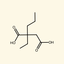 CCCC(CC)(CC(=O)O)C(=O)O